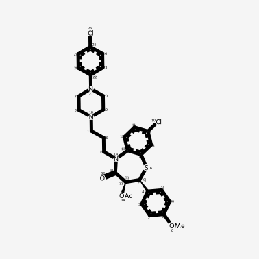 COc1ccc([C@@H]2Sc3cc(Cl)ccc3N(CCCN3CCN(c4ccc(Cl)cc4)CC3)C(=O)[C@@H]2OC(C)=O)cc1